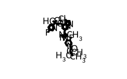 Cc1c(-c2cc(OCC(C)(O)c3ccc(F)cn3)c3c(Cl)cnn3c2)nnn1[C@@H]1CCN(C(=O)OC(C)(C)C)C[C@@H]1F